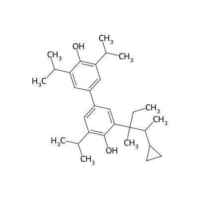 CCC(C)(c1cc(-c2cc(C(C)C)c(O)c(C(C)C)c2)cc(C(C)C)c1O)C(C)C1CC1